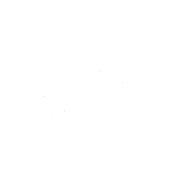 CCC(C)(C)C(=O)OC12CC3CC(CC(OCOC(C)=O)(C3)C1)C2